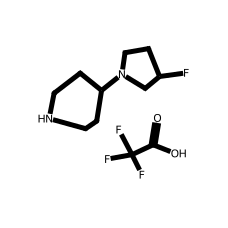 FC1CCN(C2CCNCC2)C1.O=C(O)C(F)(F)F